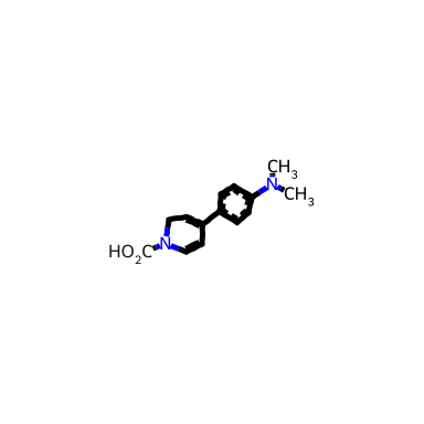 CN(C)c1ccc(C2=CCN(C(=O)O)C=C2)cc1